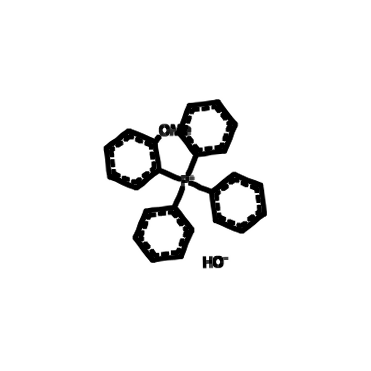 COc1ccccc1[P+](c1ccccc1)(c1ccccc1)c1ccccc1.[OH-]